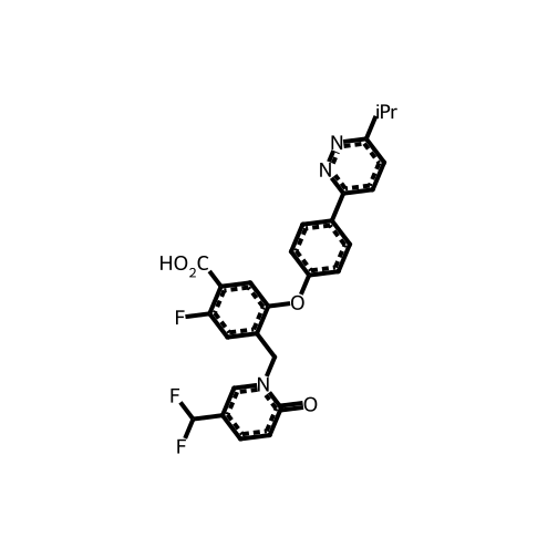 CC(C)c1ccc(-c2ccc(Oc3cc(C(=O)O)c(F)cc3Cn3cc(C(F)F)ccc3=O)cc2)nn1